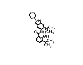 CC(C)c1cccc(C(=O)Nc2cc3cn(C4CCCCC4)nc3cc2N(C)C)[n+]1O